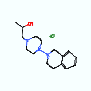 CC(O)CN1CCN(N2CCc3ccccc3C2)CC1.Cl